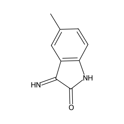 Cc1ccc2c(c1)C(=N)C(=O)N2